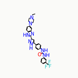 CCN1CCN(c2ccc3[nH]c(-c4cc(-c5ccc(NC(=O)Nc6cccc(C(F)(F)F)c6)cc5)[nH]n4)nc3c2)CC1